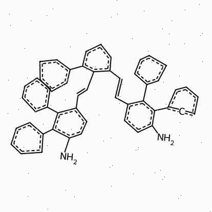 Nc1ccc(C=Cc2cccc(-c3ccccc3)c2C=Cc2ccc(N)c(-c3ccccc3)c2-c2ccccc2)c(-c2ccccc2)c1-c1ccccc1